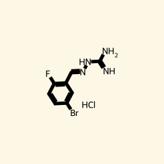 Cl.N=C(N)NN=Cc1cc(Br)ccc1F